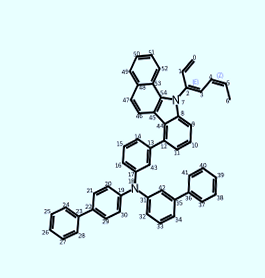 C=C/C(=C\C=C/C)n1c2cccc(-c3cccc(N(c4ccc(-c5ccccc5)cc4)c4cccc(-c5ccccc5)c4)c3)c2c2ccc3ccccc3c21